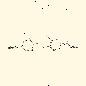 CCCCCCCCCOc1ccc(CCC2OCC(CCCCC)CO2)c(F)c1